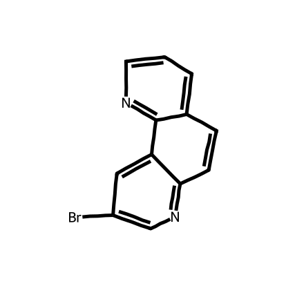 Brc1cnc2ccc3cccnc3c2c1